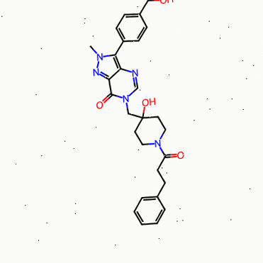 Cn1nc2c(=O)n(CC3(O)CCN(C(=O)CCc4ccccc4)CC3)cnc2c1-c1ccc(CO)cc1